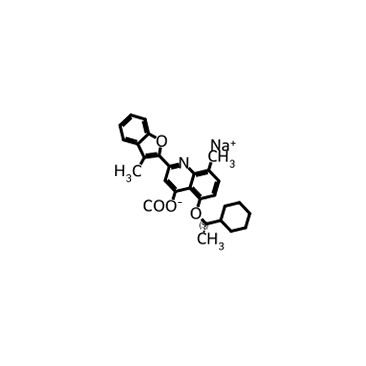 Cc1c(-c2cc(C(=O)[O-])c3c(O[C@@H](C)C4CCCCC4)ccc(C)c3n2)oc2ccccc12.[Na+]